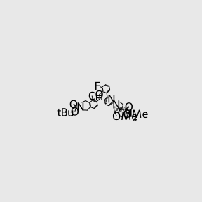 COC[C@H]1N(c2cccc(-c3cccc(F)c3OCc3ccc4c(c3C)CCN(C(=O)OC(C)(C)C)CC4)n2)CC[C@@]1(C)C(=O)OC